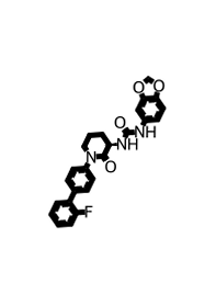 O=C(Nc1ccc2c(c1)OCO2)N[C@@H]1CCCN(c2ccc(-c3ccccc3F)cc2)C1=O